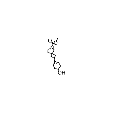 COC(=O)N1CCC2(CC(N3CCC(O)CC3)C2)C1